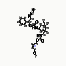 COC/C=C\COC(=O)NCC1(C)CC(NC(=O)OC(CN=[N+]=[N-])c2ccccc2)CC(C)(C)C1